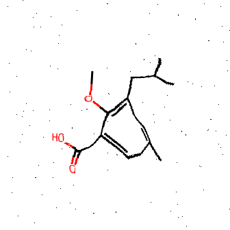 COc1c(CC(C)C)cc(C)cc1C(=O)O